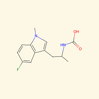 CC(Cc1cn(C)c2ccc(F)cc12)NC(=O)O